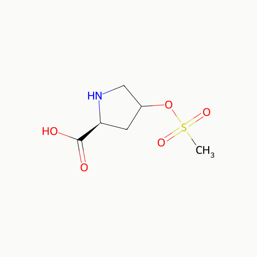 CS(=O)(=O)OC1CN[C@H](C(=O)O)C1